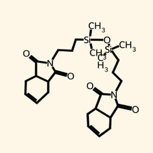 C[Si](C)(CCCN1C(=O)C2CC=CCC2C1=O)O[Si](C)(C)CCCN1C(=O)C2CC=CCC2C1=O